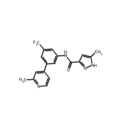 Cc1cc(-c2cc(NC(=O)c3cc(C)[nH]n3)cc(C(F)(F)F)c2)ccn1